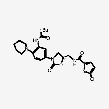 CCCCC(=O)Nc1cc(N2C[C@@H](CNC(=O)c3ccc(Cl)s3)OC2=O)ccc1N1CCCCC1